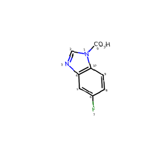 O=C(O)n1cnc2cc(F)ccc21